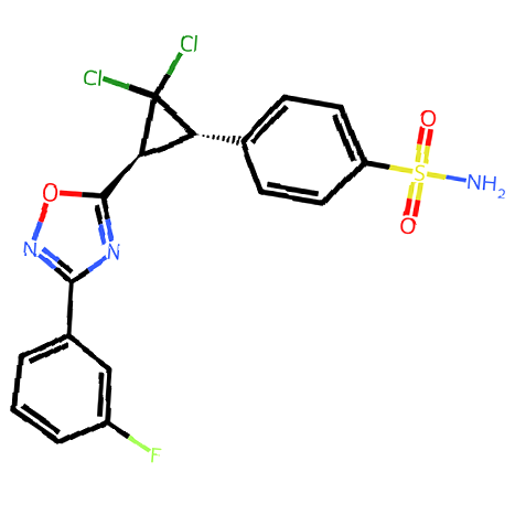 NS(=O)(=O)c1ccc([C@@H]2[C@@H](c3nc(-c4cccc(F)c4)no3)C2(Cl)Cl)cc1